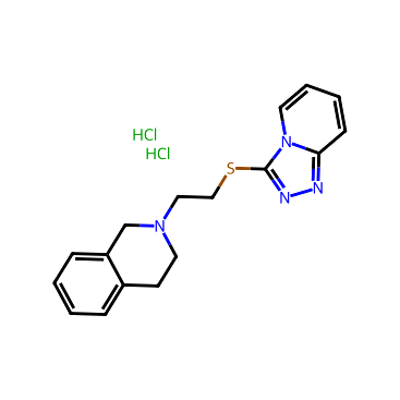 Cl.Cl.c1ccc2c(c1)CCN(CCSc1nnc3ccccn13)C2